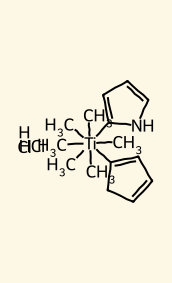 Cl.Cl.[CH3][Ti]([CH3])([CH3])([CH3])([CH3])([CH3])([C]1=CC=CC1)[c]1ccc[nH]1